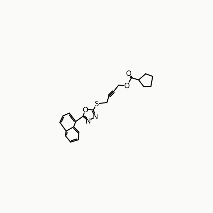 O=C(OCC#CCSc1nnc(-c2cccc3ccccc23)o1)C1CCCC1